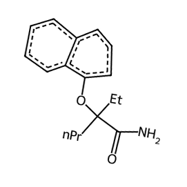 CCCC(CC)(Oc1cccc2ccccc12)C(N)=O